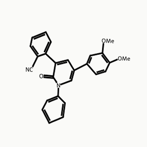 COc1ccc(-c2cc(-c3ccccc3C#N)c(=O)n(-c3ccccc3)c2)cc1OC